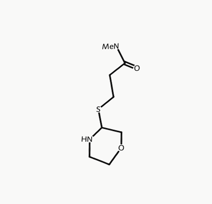 CNC(=O)CCSC1COCCN1